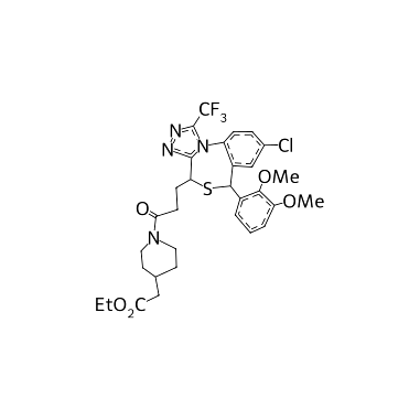 CCOC(=O)CC1CCN(C(=O)CCC2SC(c3cccc(OC)c3OC)c3cc(Cl)ccc3-n3c2nnc3C(F)(F)F)CC1